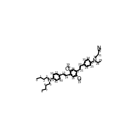 CCCCN(CCCC)c1ccc(/C=C/c2cc(OC)c(/C=C/c3ccc(N(CC)CCC#N)cc3)cc2OC)cc1